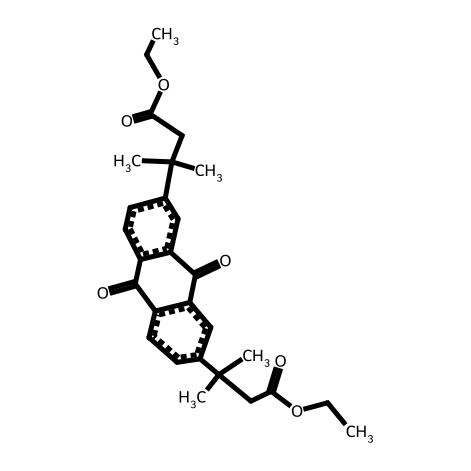 CCOC(=O)CC(C)(C)c1ccc2c(c1)C(=O)c1cc(C(C)(C)CC(=O)OCC)ccc1C2=O